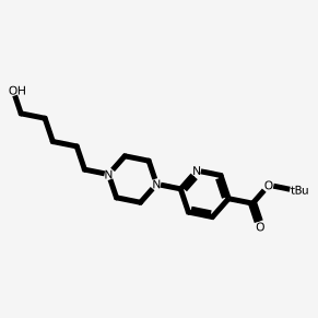 CC(C)(C)OC(=O)c1ccc(N2CCN(CCCCCO)CC2)nc1